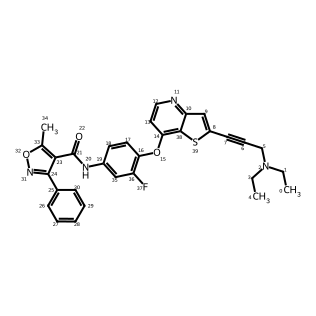 CCN(CC)CC#Cc1cc2nccc(Oc3ccc(NC(=O)c4c(-c5ccccc5)noc4C)cc3F)c2s1